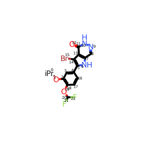 CC(C)Oc1cc(-c2[nH]c3cn[nH]c(=O)c3c2Br)ccc1OC(F)F